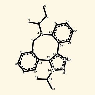 CCC(C)N1Cc2ccccc2-c2c(nnn2C(C)C)-c2ccccc21